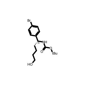 CC(C)(C)OC(=O)N[C@H](CCCCO)c1ccc(Br)cc1